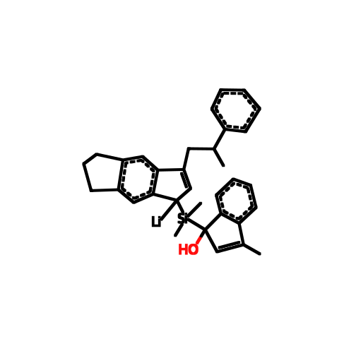 [Li][C]1([Si](C)(C)C2(O)C=C(C)c3ccccc32)C=C(CC(C)c2ccccc2)c2cc3c(cc21)CCC3